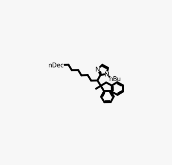 CCCCCCCCCCCCCCCCC(c1nccn1CCCC)C(C)(Cc1ccccc1)c1ccccc1